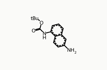 CC(C)(C)OC(=O)Nc1cccc2cc(N)ccc12